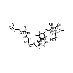 Cc1cc(O[C@@H]2OC(CO)[C@@H](O)C(O)[C@@H]2O)cc2c1O[C@](C)(CCC[C@H](C)CCC[C@H](C)CCCC(C)C)CC2